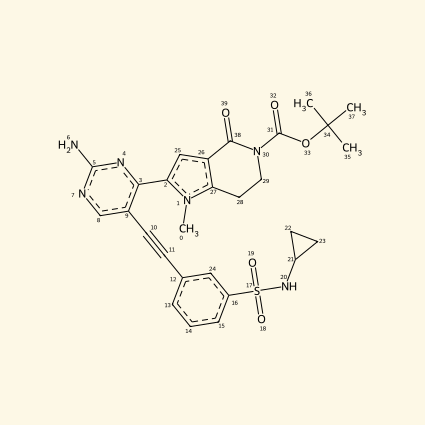 Cn1c(-c2nc(N)ncc2C#Cc2cccc(S(=O)(=O)NC3CC3)c2)cc2c1CCN(C(=O)OC(C)(C)C)C2=O